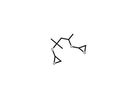 CC(CC(C)(C)OC1CO1)OC1CO1